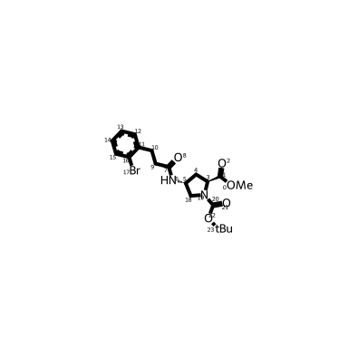 COC(=O)[C@@H]1C[C@@H](NC(=O)CCc2ccccc2Br)CN1C(=O)OC(C)(C)C